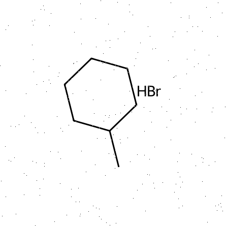 Br.CC1CCCCC1